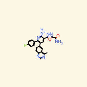 Cc1ncnc2ccc(-c3cc(-c4nnc(C(N)=O)o4)c(N)nc3-c3ccc(F)cc3)cc12